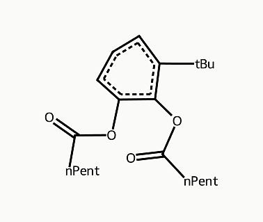 CCCCCC(=O)Oc1cccc(C(C)(C)C)c1OC(=O)CCCCC